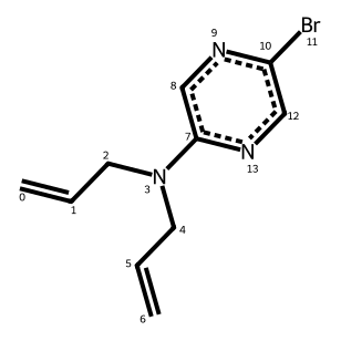 C=CCN(CC=C)c1cnc(Br)cn1